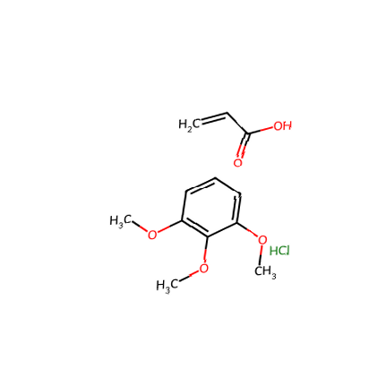 C=CC(=O)O.COc1cccc(OC)c1OC.Cl